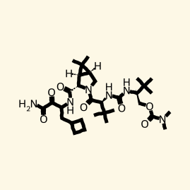 CN(C)C(=O)OC[C@@H](NC(=O)N[C@H](C(=O)N1C[C@H]2[C@@H]([C@H]1C(=O)NC(CC1CCC1)C(=O)C(N)=O)C2(C)C)C(C)(C)C)C(C)(C)C